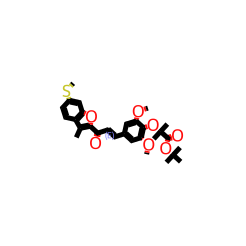 COc1cc(/C=C/C(=O)c2oc3cc(SC)ccc3c2C)cc(OC)c1OC(C)(C)C(=O)OC(C)(C)C